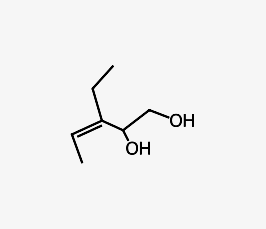 CC=C(CC)C(O)CO